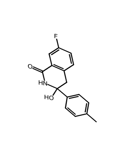 Cc1ccc(C2(O)Cc3ccc(F)cc3C(=O)N2)cc1